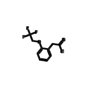 O=C(Cl)Cc1ccccc1OCC(F)(F)F